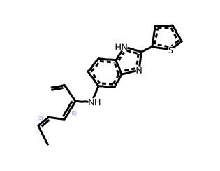 C=C/C(=C\C=C/C)Nc1ccc2[nH]c(-c3cccs3)nc2c1